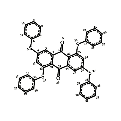 O=C1c2cc(Sc3ccccc3)cc(Sc3ccccc3)c2C(=O)c2cc(Sc3ccccc3)cc(Sc3ccccc3)c21